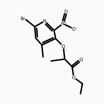 CCOC(=O)C(C)Oc1c(C)cc(Br)nc1[N+](=O)[O-]